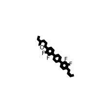 C/C=C\Cc1ccc(C2=CC=C(c3ccc(C4CCC(CC)CO4)c(F)c3F)CC2)c(F)c1F